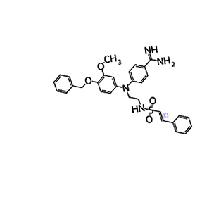 COc1cc(N(CCNS(=O)(=O)/C=C/c2ccccc2)c2ccc(C(=N)N)cc2)ccc1OCc1ccccc1